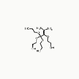 NC(N)=C(OCCO)C(OCCO)(OCCO)OCCO